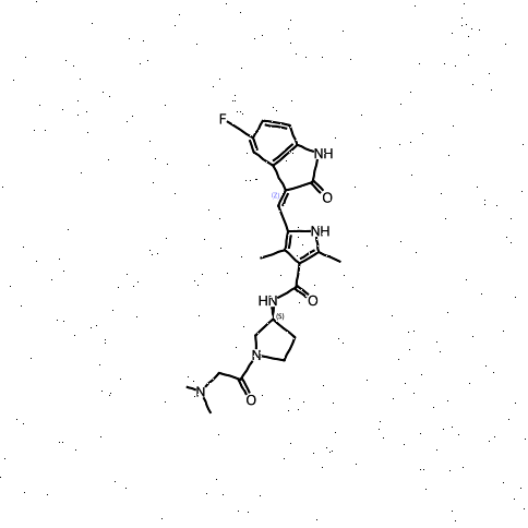 Cc1[nH]c(/C=C2\C(=O)Nc3ccc(F)cc32)c(C)c1C(=O)N[C@H]1CCN(C(=O)CN(C)C)C1